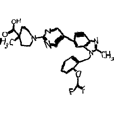 Cc1nc2ccc(-c3cnc(N4CCC(C)(C(=O)O)CC4)nc3)cc2n1Cc1ccccc1OC(F)F